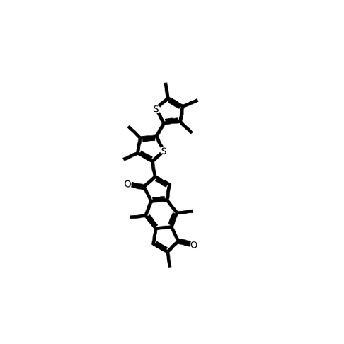 Cc1sc(-c2sc(-c3cc4c(C)c5c(=O)c(C)cc5c(C)c4c3=O)c(C)c2C)c(C)c1C